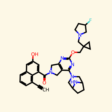 C#Cc1cccc2cc(O)cc(C(=O)N3Cc4nc(OCC5(CN6CCC(F)C6)CC5)nc(N5CC6CCC(C5)N6)c4C3)c12